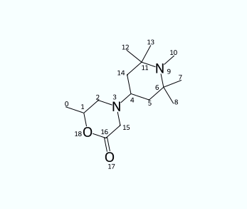 CC1CN(C2CC(C)(C)N(C)C(C)(C)C2)CC(=O)O1